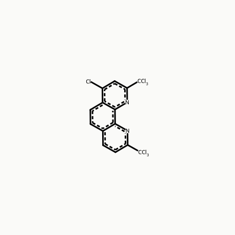 Clc1cc(C(Cl)(Cl)Cl)nc2c1ccc1ccc(C(Cl)(Cl)Cl)nc12